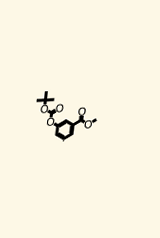 COC(=O)c1c[c]cc(OC(=O)OC(C)(C)C)c1